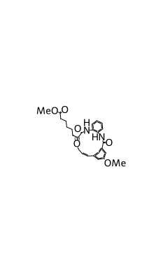 COC(=O)CCCCC[C@@H]1OCC=Cc2cc(OC)cc(c2)C(=O)Nc2ccccc2NC1=O